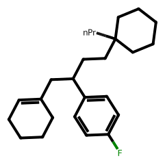 CCCC1(CCC(CC2=CCCCC2)c2ccc(F)cc2)CCCCC1